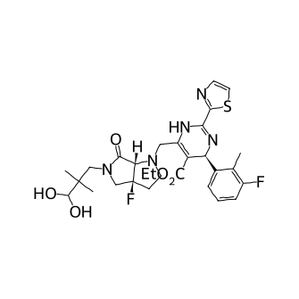 CCOC(=O)C1=C(CN2CC[C@]3(F)CN(CC(C)(C)C(O)O)C(=O)[C@H]23)NC(c2nccs2)=N[C@H]1c1cccc(F)c1C